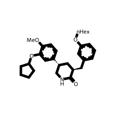 CCCCCCOc1cccc(C[C@@H]2C[C@@H](c3ccc(OC)c(OC4CCCC4)c3)CNC2=O)c1